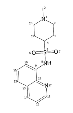 CN1CCC(S(=O)(=O)Nc2cccc3cccnc23)CC1